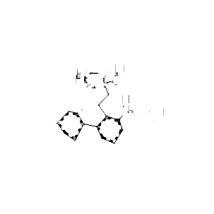 CCO[Si](CCc1c(NC(=O)O)cccc1-c1ccccc1)(OCC)OCC